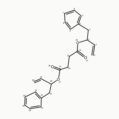 C=CC(Cc1ccccc1)OC(=O)CCC(=O)OC(C=C)Cc1ccccc1